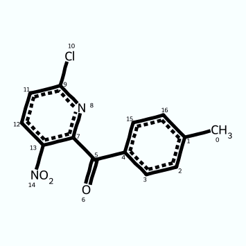 Cc1ccc(C(=O)c2nc(Cl)ccc2[N+](=O)[O-])cc1